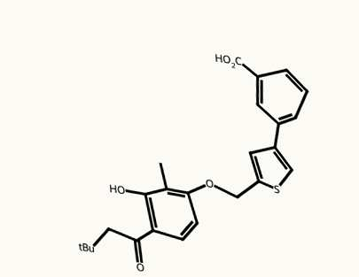 Cc1c(OCc2cc(-c3cccc(C(=O)O)c3)cs2)ccc(C(=O)CC(C)(C)C)c1O